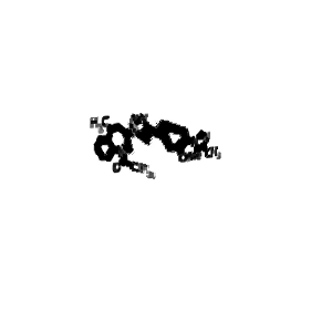 COc1cc(-c2cn(C3CC(C)c4ccccc4N(C(=O)C(F)(F)F)C3)nn2)ccc1-n1cnc(C)c1